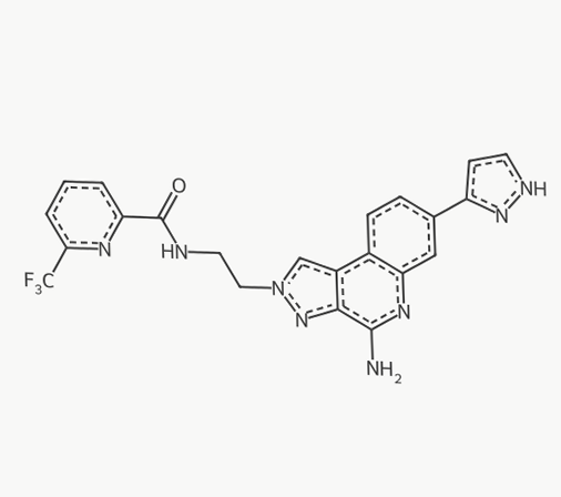 Nc1nc2cc(-c3cc[nH]n3)ccc2c2cn(CCNC(=O)c3cccc(C(F)(F)F)n3)nc12